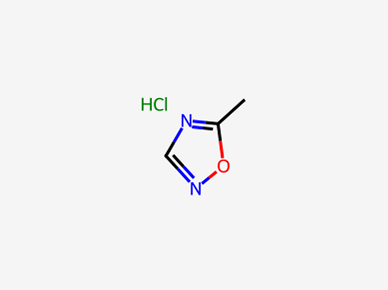 Cc1ncno1.Cl